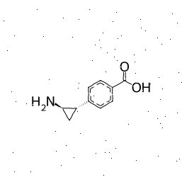 N[C@@H]1C[C@H]1c1ccc(C(=O)O)cc1